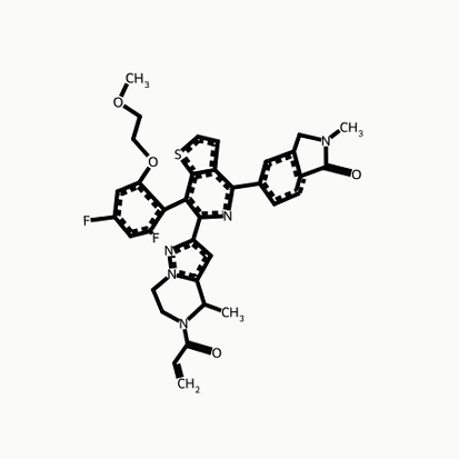 C=CC(=O)N1CCn2nc(-c3nc(-c4ccc5c(c4)CN(C)C5=O)c4ccsc4c3-c3c(F)cc(F)cc3OCCOC)cc2C1C